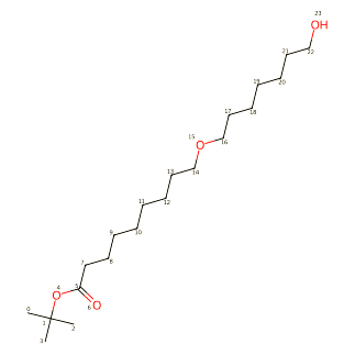 CC(C)(C)OC(=O)CCCCCCCCOCCCCCCCO